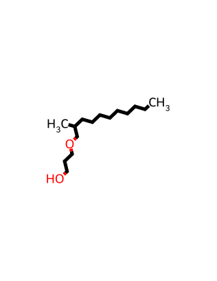 CCCCCCCCCC(C)COCCCO